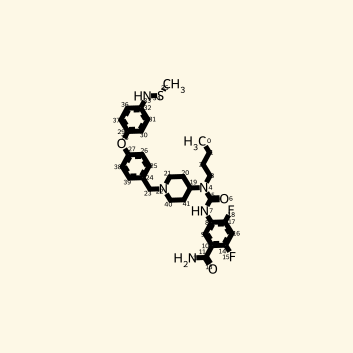 CCCCN(C(=O)Nc1cc(C(N)=O)c(F)cc1F)C1CCN(Cc2ccc(Oc3ccc(NSC)cc3)cc2)CC1